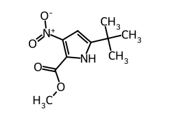 COC(=O)c1[nH]c(C(C)(C)C)cc1[N+](=O)[O-]